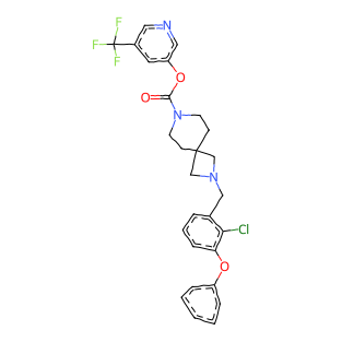 O=C(Oc1cncc(C(F)(F)F)c1)N1CCC2(CC1)CN(Cc1cccc(Oc3ccccc3)c1Cl)C2